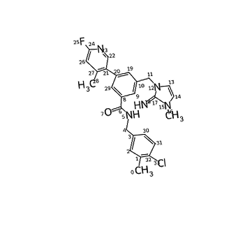 Cc1cc(CNC(=O)c2cc(Cn3ccn(C)c3=N)cc(-c3cnc(F)cc3C)c2)ccc1Cl